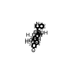 C[C@]12C=CC(=O)C=C1CC[C@H]1[C@@H]3C[C@H]4OC(c5ccnc6ccccc56)O[C@@]4(C(=O)CO)[C@@]3(C)C[C@H](O)[C@@]12F